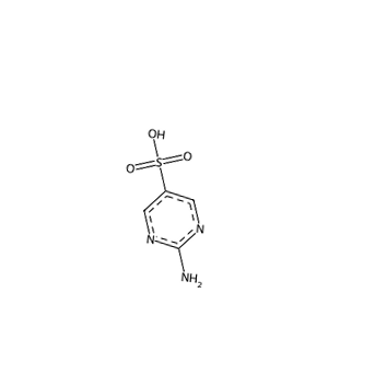 Nc1ncc(S(=O)(=O)O)cn1